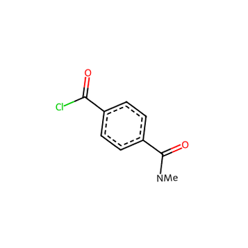 CNC(=O)c1ccc(C(=O)Cl)cc1